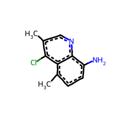 Cc1cnc2c(N)ccc(C)c2c1Cl